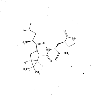 CC1(C)[C@@H]2[C@@H](C(=O)N[C@@H](C[C@@H]3CCNC3=O)C(N)=O)N(C(=O)[C@@H](N)CC(F)F)C[C@@H]21